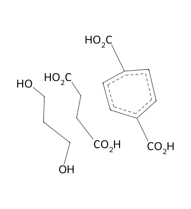 O=C(O)CCC(=O)O.O=C(O)c1ccc(C(=O)O)cc1.OCCCO